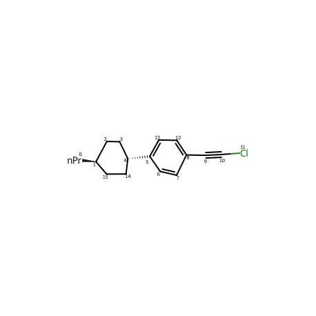 CCC[C@H]1CC[C@H](c2ccc(C#CCl)cc2)CC1